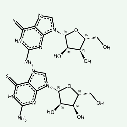 Nc1nc2c(ncn2[C@@H]2O[C@H](CO)[C@@H](O)[C@H]2O)c(=S)[nH]1.Nc1nc2c(ncn2[C@@H]2O[C@H](CO)[C@@H](O)[C@H]2O)c(=S)[nH]1